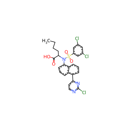 CCCCC(C(=O)O)N(c1cccc2c(-c3ccnc(Cl)n3)cccc12)S(=O)(=O)c1cc(Cl)cc(Cl)c1